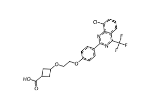 O=C(O)C1CC(OCCOc2ccc(-c3nc(C(F)(F)F)c4cccc(Cl)c4n3)cc2)C1